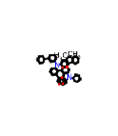 CC1(C)c2ccccc2-c2ccc(N(c3cccc(-c4ccccc4)c3)c3cccc(-c4ccccc4)c3-c3cccc4c3c3ccccc3n4-c3ccccc3)cc21